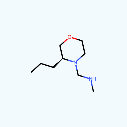 CCC[C@H]1COCCN1CNC